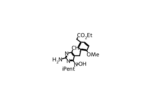 CCCC(C)N(O)c1nc(N)nc(C)c1Cc1cc(CC(=O)OCC)ccc1OC